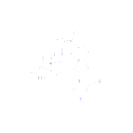 CNC1(C)CC[C@@H](Nc2c(C(N)=O)cnn3cc(-c4ccncc4C)cc23)C1(C)C